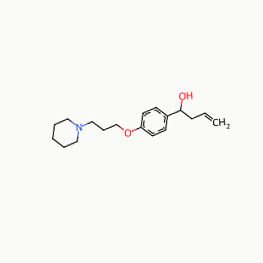 C=CCC(O)c1ccc(OCCCN2CCCCC2)cc1